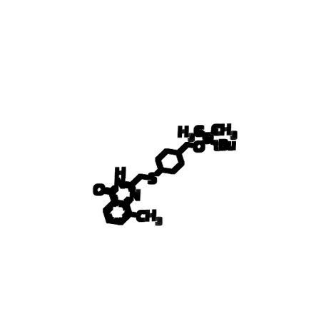 Cc1cccc2c(=O)[nH]c(CSC3CCC(CO[Si](C)(C)C(C)(C)C)CC3)nc12